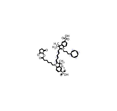 CC1(C)C(/C=C/C=C/C=C2/N(CCCCCC(=O)ON3C(=O)CCC3=O)c3ccc(S(=O)(=O)O)cc3C2(C)C)=[N+](CCCC2=C/C=C\C=C/C=C\2)c2ccc(S(=O)(=O)O)cc21